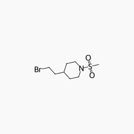 CS(=O)(=O)N1CCC(CCBr)CC1